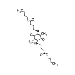 CCCCOC(=O)CCCNC1=C(C)C(=O)C(NCCCC(=O)OCCCC)=C(C)C1=O